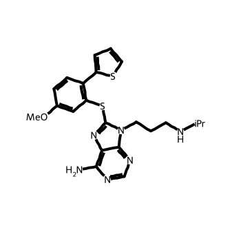 COc1ccc(-c2cccs2)c(Sc2nc3c(N)ncnc3n2CCCNC(C)C)c1